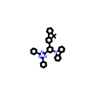 CC1(C)c2ccccc2-c2ccc(-c3cc(-c4nc(-c5ccccc5)nc(-c5ccccc5)n4)cc(-n4c5ccccc5c5ccccc54)c3)cc21